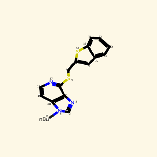 CCCCn1cnc2c(SCc3cc4ccccc4s3)nccc21